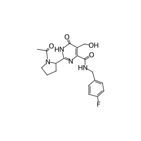 CC(=O)N1CCCC1c1nc(C(=O)NCc2ccc(F)cc2)c(CO)c(=O)[nH]1